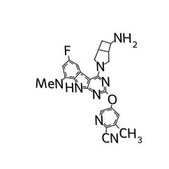 CNc1cc(F)cc2c1[nH]c1nc(Oc3cnc(C#N)c(C)c3)nc(N3CC4CC(N)C4C3)c12